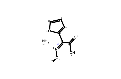 CO/N=C(\C(=O)O)c1ccco1.N